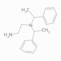 CC(c1ccccc1)N(CCN)C(C)c1ccccc1